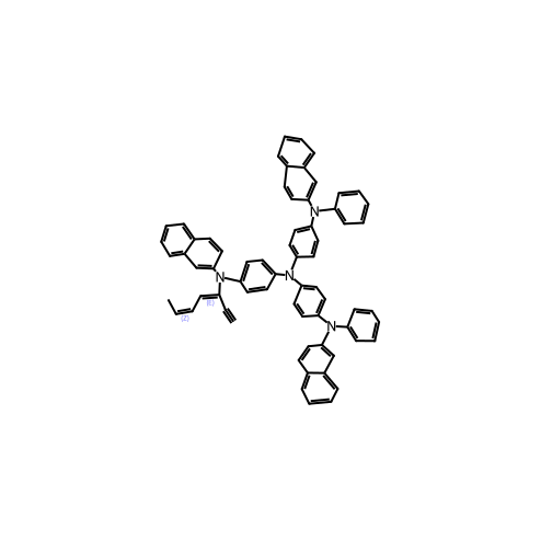 C#C/C(=C\C=C/C)N(c1ccc(N(c2ccc(N(c3ccccc3)c3ccc4ccccc4c3)cc2)c2ccc(N(c3ccccc3)c3ccc4ccccc4c3)cc2)cc1)c1ccc2ccccc2c1